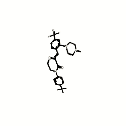 CN1CCN(c2cc(C(F)(F)F)ccc2C=C2OCCN(c3ccc(C(C)(C)C)cc3)C2=O)CC1